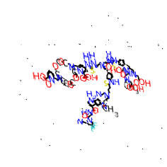 CCN(CCN(CC(=O)O)C(CNCC(=O)O)Cc1ccc(NC(=S)NCCN(CCNC(=S)Nc2cc(CN3CCOCCOCCN(Cc4cccc(C(=O)O)n4)CCOCCOCC3)nc(C(=O)O)c2)CC(=O)c2ccc(NC(=S)CCCN(CCN)CCCN(C)c3ccc4nccc(C(=O)NCC(=O)N5CC(F)(F)CC5C#N)c4c3)cc2)cc1)CC(=O)O